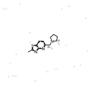 Cc1nc2nc([C@@H](C)N3CCC[C@@H]3C)ccc2s1